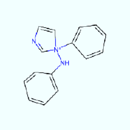 C1=C[N+](Nc2ccccc2)(c2ccccc2)C=N1